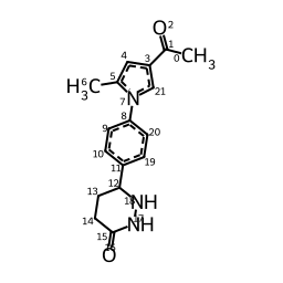 CC(=O)c1cc(C)n(-c2ccc(C3CCC(=O)NN3)cc2)c1